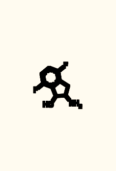 NC1Cc2c(F)ccc(F)c2C1O